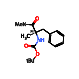 CNC(=O)[C@@](C)(Cc1ccccc1)NC(=O)OC(C)(C)C